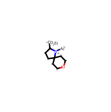 CCOC(=O)C1CCC2(CCOCC2)N1C(C)=O